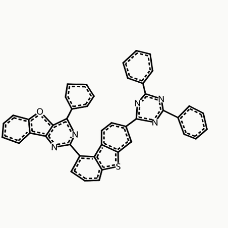 c1ccc(-c2nc(-c3ccccc3)nc(-c3ccc4c(c3)sc3cccc(-c5nc(-c6ccccc6)c6oc7ccccc7c6n5)c34)n2)cc1